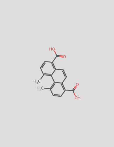 Cc1ccc(C(=O)O)c2ccc3c(C(=O)O)ccc(C)c3c12